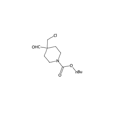 CCCCOC(=O)N1CCC(C=O)(CCl)CC1